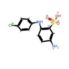 Nc1ccc(Nc2ccc(Cl)cc2)c(S(=O)(=O)O)c1